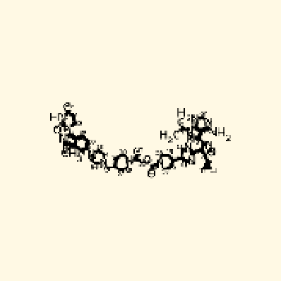 CC(C)n1nc(-c2noc(C3CC3)c2-c2ncc(C3CCN(C(=O)OCC(=O)N4CCC(CN5CCN(c6ccc7c(N8CCC(=O)NC8=O)nn(C)c7c6)CC5)CC4)CC3)cn2)c2c(N)ncnc21